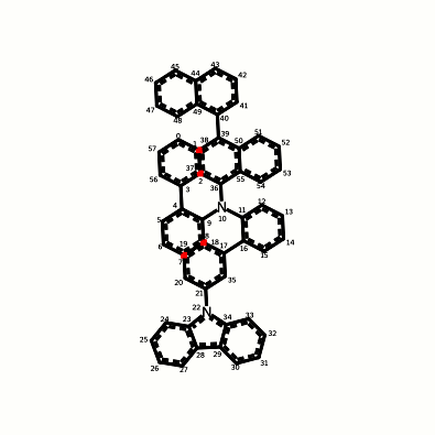 c1ccc(-c2ccccc2N(c2ccccc2-c2cccc(-n3c4ccccc4c4ccccc43)c2)c2ccc(-c3cccc4ccccc34)c3ccccc23)cc1